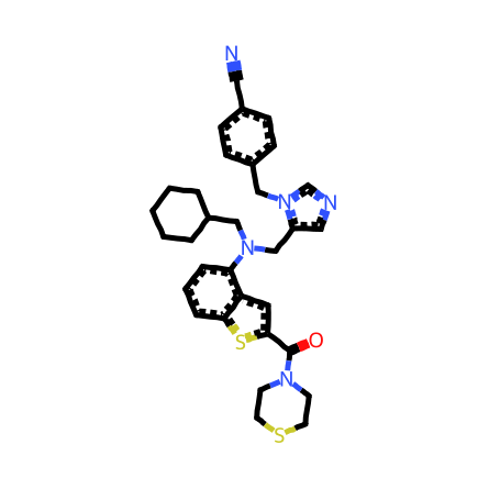 N#Cc1ccc(Cn2cncc2CN(CC2CCCCC2)c2cccc3sc(C(=O)N4CCSCC4)cc23)cc1